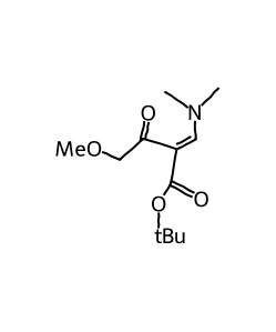 COCC(=O)/C(=C\N(C)C)C(=O)OC(C)(C)C